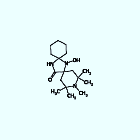 CN1C(C)(C)CC2(CC1(C)C)C(=O)NC1(CCCCC1)N2O